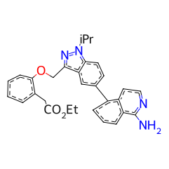 CCOC(=O)Cc1ccccc1OCc1nn(C(C)C)c2ccc(-c3cccc4c(N)nccc34)cc12